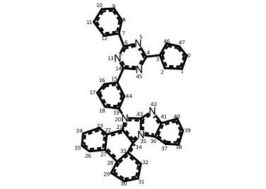 c1ccc(-c2nc(-c3ccccc3)nc(-c3cccc(-n4c5c6ccccc6c6ccccc6c5n5c6ccccc6nc45)c3)n2)cc1